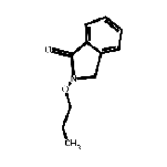 CCCON1Cc2ccccc2C1=O